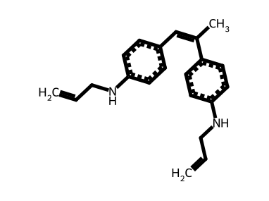 C=CCNc1ccc(C=C(C)c2ccc(NCC=C)cc2)cc1